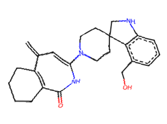 C=C1C=C(N2CCC3(CC2)CNc2cccc(CO)c23)NC(=O)C2=C1CCCC2